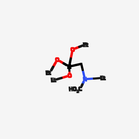 CCO[Si](CN(CC)C(=O)O)(OCC)OCC